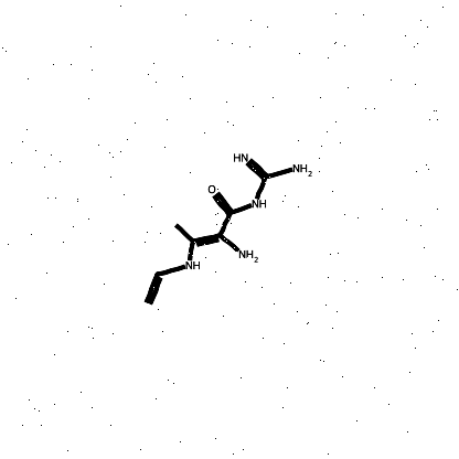 C=CN/C(C)=C(\N)C(=O)NC(=N)N